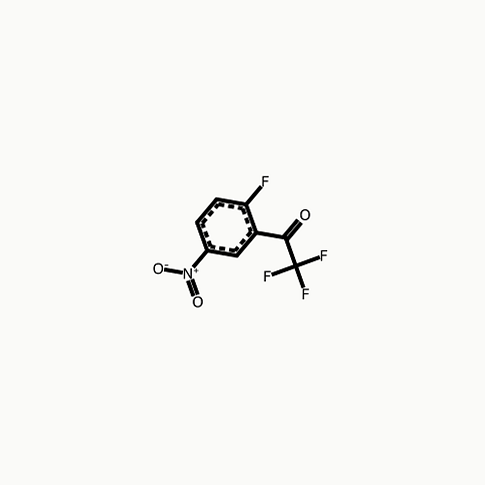 O=C(c1cc([N+](=O)[O-])ccc1F)C(F)(F)F